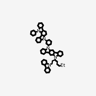 CC/C=C\C=C(/CCn1c2ccccc2c2ccccc21)n1c2ccccc2c2cc3c(cc21)c1ccccc1n3-c1cccc(-n2c3ccccc3c3c2ccc2c4ccccc4n(-c4ccccc4)c23)c1